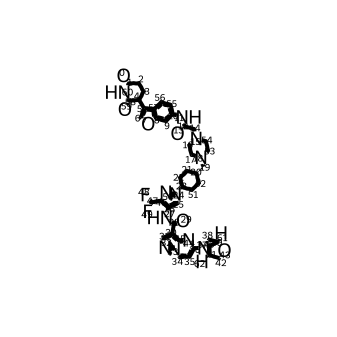 O=C1CCC(c2coc3cc(NC(=O)CN4CCN(C[C@H]5CC[C@H](n6cc(NC(=O)c7cnn8ccc(N9C[C@@H]%10C[C@H]9CO%10)nc78)c(C(F)F)n6)CC5)CC4)ccc23)C(=O)N1